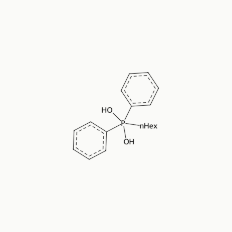 CCCCCCP(O)(O)(c1ccccc1)c1ccccc1